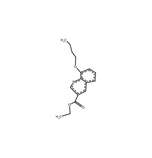 CCCCOc1cccc2cc(C(=O)OCC)cnc12